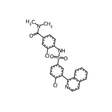 CN(C)C(=O)c1ccc(NS(=O)(=O)c2ccc(Cl)c(-c3nccc4ccccc34)c2)c(Cl)c1